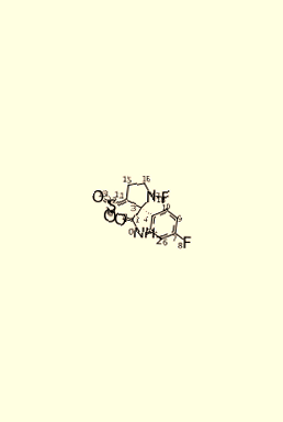 NC(=O)[C@@]1(c2ccc(F)cc2)C(=S(=O)=O)CCN1F